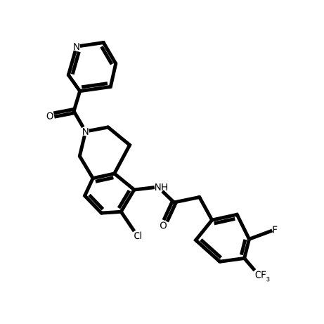 O=C(Cc1ccc(C(F)(F)F)c(F)c1)Nc1c(Cl)ccc2c1CCN(C(=O)c1cccnc1)C2